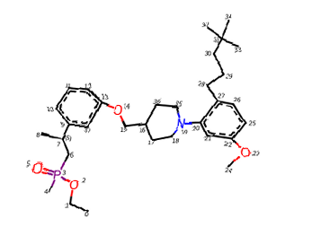 CCOP(C)(=O)C[C@@H](C)c1cccc(OCC2CCN(c3cc(OC)ccc3CCCC(C)(C)C)CC2)c1